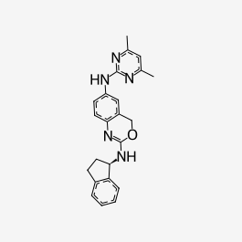 Cc1cc(C)nc(Nc2ccc3c(c2)COC(N[C@@H]2CCc4ccccc42)=N3)n1